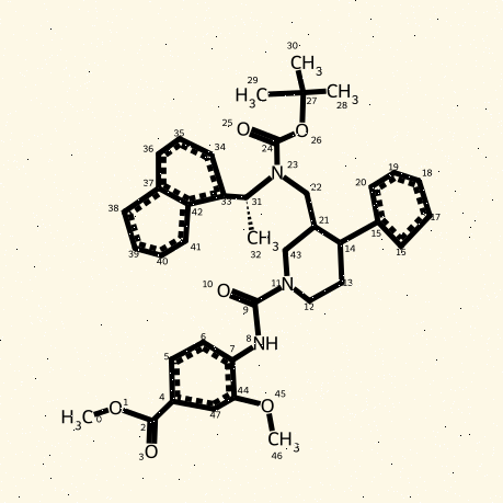 COC(=O)c1ccc(NC(=O)N2CCC(c3ccccc3)C(CN(C(=O)OC(C)(C)C)[C@H](C)c3cccc4ccccc34)C2)c(OC)c1